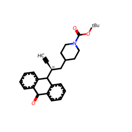 C#C[C@@H](CC1CCN(C(=O)OC(C)(C)C)CC1)C1c2ccccc2C(=O)c2ccccc21